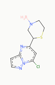 BN1CCSC(c2cc(Cl)n3nccc3n2)C1